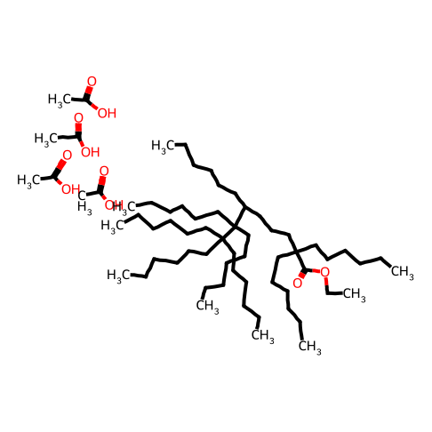 CC(=O)O.CC(=O)O.CC(=O)O.CC(=O)O.CCCCCCC(CCCC(CCCCCC)(CCCCCC)C(=O)OCC)C(CCCCCC)(CCCCCC)C(CCCCCC)(CCCCCC)CCCCCC